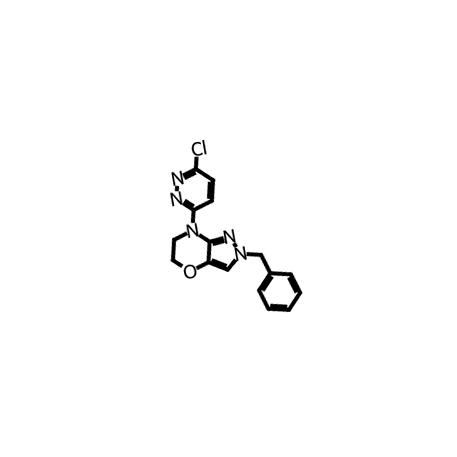 Clc1ccc(N2CCOc3cn(Cc4ccccc4)nc32)nn1